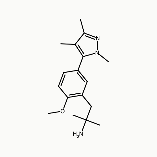 COc1ccc(-c2c(C)c(C)nn2C)cc1CC(C)(C)N